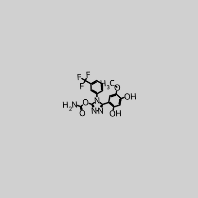 COc1cc(-c2nnc(OC(N)=O)n2-c2cccc(C(F)(F)F)c2)c(O)cc1O